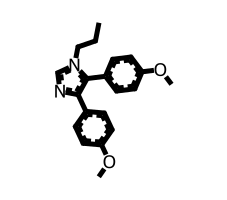 CCCn1cnc(-c2ccc(OC)cc2)c1-c1ccc(OC)cc1